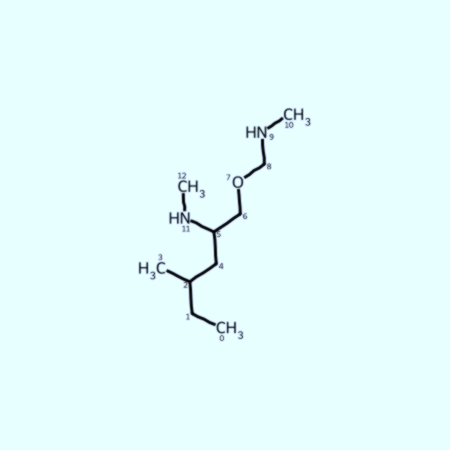 CCC(C)CC(COCNC)NC